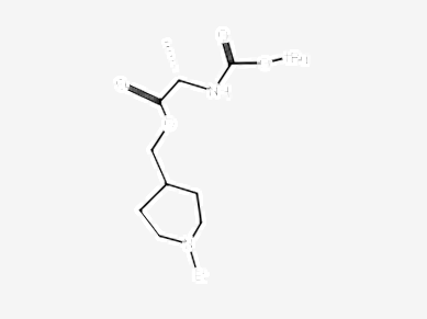 CCN1CCC(COC(=O)[C@H](C)NC(=O)OC(C)(C)C)CC1